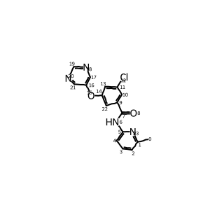 Cc1cccc(NC(=O)c2cc(Cl)cc(Oc3cncnc3)c2)n1